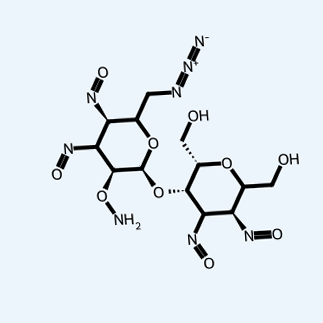 [N-]=[N+]=NCC1O[C@@H](O[C@H]2C(N=O)[C@H](N=O)C(CO)O[C@H]2CO)[C@@H](ON)C(N=O)[C@H]1N=O